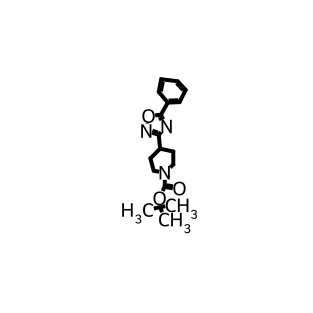 CC(C)(C)OC(=O)N1CCC(c2noc(-c3ccccc3)n2)CC1